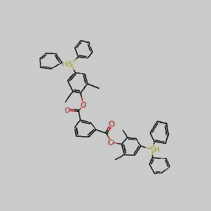 Cc1cc([SH](c2ccccc2)c2ccccc2)cc(C)c1OC(=O)c1cccc(C(=O)Oc2c(C)cc([SH](c3ccccc3)c3ccccc3)cc2C)c1